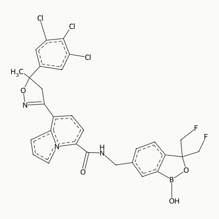 CC1(c2cc(Cl)c(Cl)c(Cl)c2)CC(c2ccc(C(=O)NCc3ccc4c(c3)B(O)OC4(CF)CF)n3cccc23)=NO1